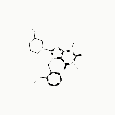 COc1ccccc1Cn1c(N2CCCC(N)C2)nc2c1c(=O)n(C)c(=O)n2C